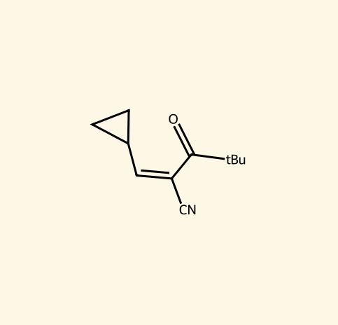 CC(C)(C)C(=O)/C(C#N)=C\C1CC1